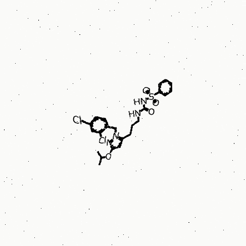 CC(C)Oc1cc(CCCNC(=O)NS(=O)(=O)c2ccccc2)n(Cc2ccc(Cl)cc2Cl)n1